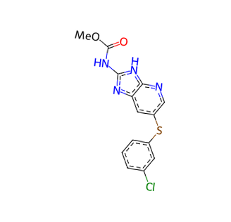 COC(=O)Nc1nc2cc(Sc3cccc(Cl)c3)cnc2[nH]1